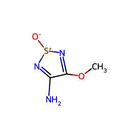 COc1n[s+]([O-])nc1N